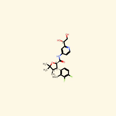 COc1c([C@@H]2[C@@H](C)C(C)(C)O[C@H]2C(=O)Nc2ccnc([C@@H](O)CO)c2)ccc(F)c1F